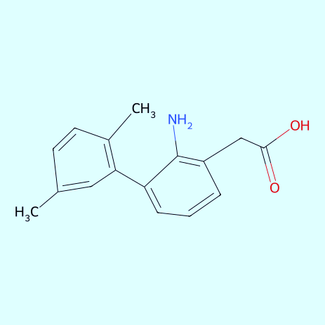 Cc1ccc(C)c(-c2cccc(CC(=O)O)c2N)c1